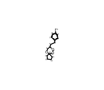 Fc1ccc(CCC2COC3(CCCC3)OO2)cc1